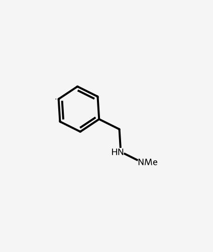 CNNCc1cc[c]cc1